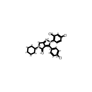 O=C1c2c(nn(-c3ccc(Cl)cc3Cl)c2-c2ccc(Cl)cc2)CN1C1CCCCC1